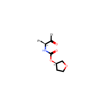 CCC(=O)[C@@H](NC(=O)O[C@@H]1CCOC1)C(C)C